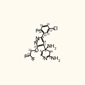 NC1=NC=CC(N)(c2cc(-c3cc(Cl)ccc3F)nnc2OCC(F)F)C1